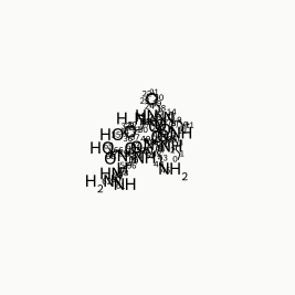 CCCC[C@H](NC(=O)[C@H](CC(C)C)N(C)C(=O)[C@H](Cc1ccccc1)NC(=O)[C@@H](N)Cc1ccc(O)cc1)C(=O)N[C@@H](CCCN)C(=O)N(C)[C@@H](C)C(=O)N[C@@H](CCCNC(=N)N)C(=O)NCC(=O)O